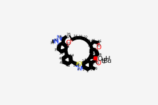 Cc1cc2nc3sc2c(c1[C@H](OC(C)(C)C)C(=O)O)-c1ccc2c(c1)C(CCCC[C@H](C)Oc1c(ccc4c1c(C)nn4C)-c1cccc-3c1)CCO2